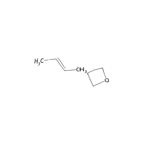 C1COC1.CC=CC